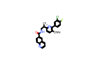 COc1ccc(C(CNC(=O)c2ccc3ncccc3c2)C(F)(F)F)nc1-c1ccc(F)c(Cl)c1